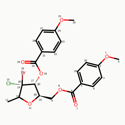 COc1ccc(C(=O)OC[C@H]2OC(C)[C@@](Cl)(Br)[C@@H]2OC(=O)c2ccc(OC)cc2)cc1